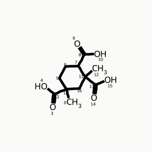 CC1(C(=O)O)CCC(C(=O)O)C(C)(C(=O)O)C1